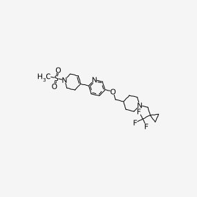 CS(=O)(=O)N1CC=C(c2ccc(OCC3CCN(CC4(C(F)(F)F)CC4)CC3)cn2)CC1